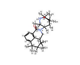 [2H]C1([2H])[C@@H](N2C[C@]3([2H])c4c(cccc4C([2H])([2H])C([2H])([2H])C3([2H])[2H])C2=O)[C@]2([2H])CCN1C([2H])([2H])C2([2H])[2H]